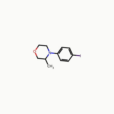 CC1COCCN1c1ccc(I)cc1